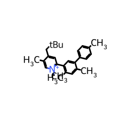 Cc1ccc(-c2cc(-c3cc(CC(C)(C)C)c(C)c[n+]3C)c(C)cc2C)cc1